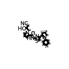 N#CCC(O)Cn1cccc1C(=O)Nc1nc([C@H]2CCCN2c2ccccc2)cs1